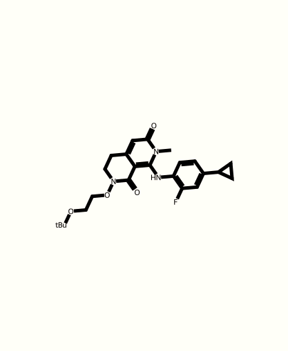 Cn1c(Nc2ccc(C3CC3)cc2F)c2c(cc1=O)CCN(OCCOC(C)(C)C)C2=O